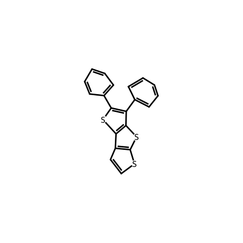 c1ccc(-c2sc3c(sc4sccc43)c2-c2ccccc2)cc1